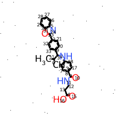 CC(C)C(Nc1ccc(C(=O)NCCC(=O)O)cc1)c1ccc(-c2nc3ccccc3o2)cc1